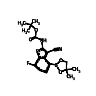 CC(C)(C)OC(=O)Nc1sc2c(F)ccc(B3OCC(C)(C)O3)c2c1C#N